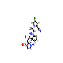 CC1(C)[C@@H](CN2CC[C@@H](O)C2)CC[C@H]1NCC(=O)N1C[C@@H](F)C[C@H]1C#N